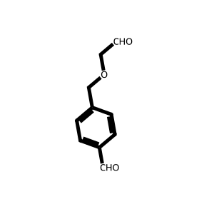 O=CCOCc1ccc(C=O)cc1